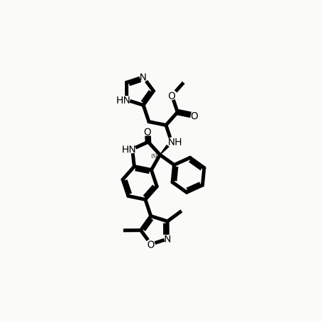 COC(=O)C(Cc1cnc[nH]1)N[C@]1(c2ccccc2)C(=O)Nc2ccc(-c3c(C)noc3C)cc21